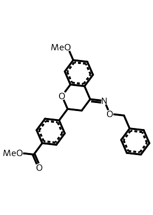 COC(=O)c1ccc(C2C/C(=N\OCc3ccccc3)c3ccc(OC)cc3O2)cc1